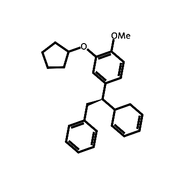 COc1ccc([C@H](Cc2ccccc2)C2C=CC=CC2)cc1OC1CCCC1